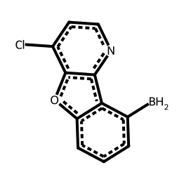 Bc1cccc2oc3c(Cl)ccnc3c12